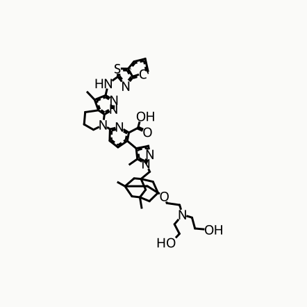 Cc1c(Nc2nc3ccccc3s2)nnc2c1CCCN2c1ccc(-c2cnn(CC34CC5(C)CC(C)(C3)CC(OCCN(CCO)CCO)(C5)C4)c2C)c(C(=O)O)n1